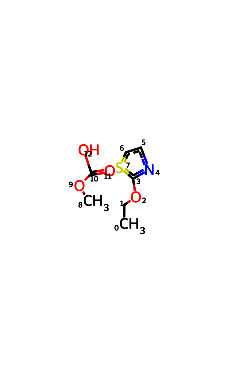 CCOc1nccs1.COC(=O)O